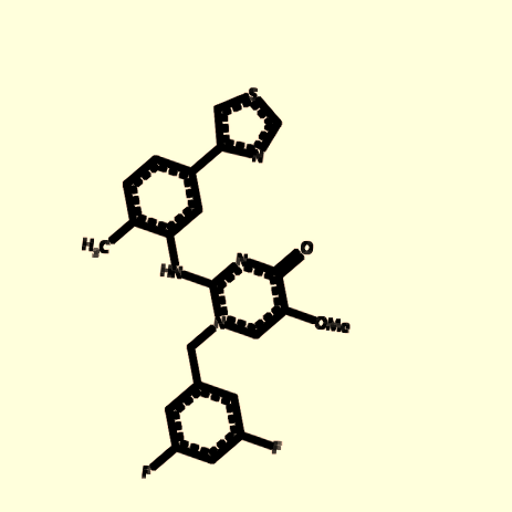 COc1cn(Cc2cc(F)cc(F)c2)c(Nc2cc(-c3cscn3)ccc2C)nc1=O